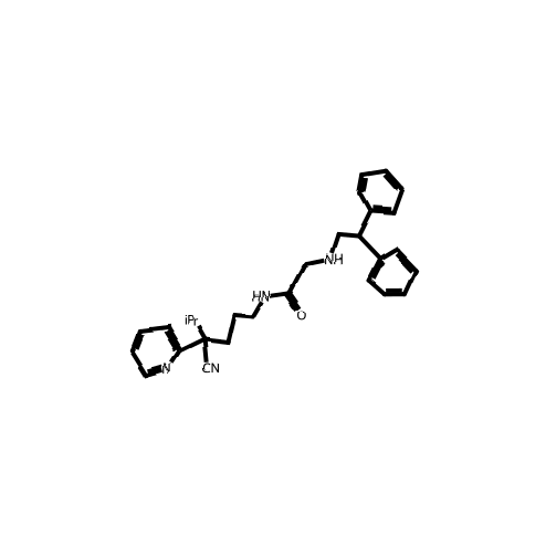 CC(C)C(C#N)(CCCNC(=O)CNCC(c1ccccc1)c1ccccc1)c1ccccn1